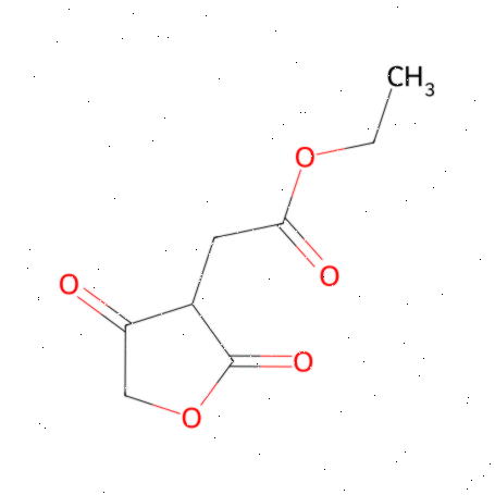 CCOC(=O)CC1C(=O)COC1=O